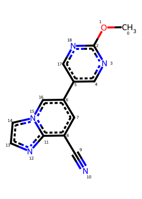 COc1ncc(-c2cc(C#N)c3nccn3c2)cn1